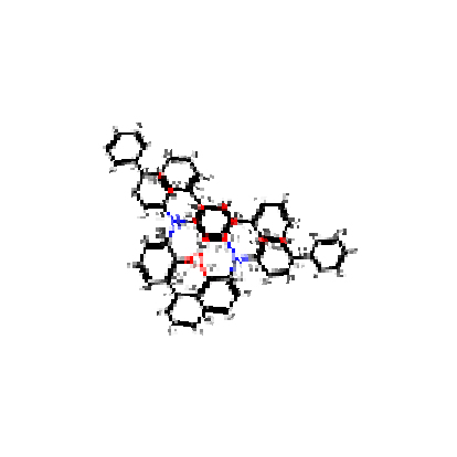 C1=CC(c2ccccc2)CC=C1N(c1ccc(-c2ccccc2)cc1)c1cccc2c1Oc1c(N(c3ccc(-c4ccccc4)cc3)c3ccc(-c4ccccc4)cc3)ccc3cccc-2c13